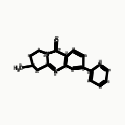 CC1CCn2c(nc3cc(-c4ccccn4)ccc3c2=O)C1